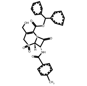 Cc1ccc(C(=O)N[C@H]2C(=O)N3C(C(=O)OC(c4ccccc4)c4ccccc4)=C(CO)CS(=O)(=O)[C@@H]23)cc1